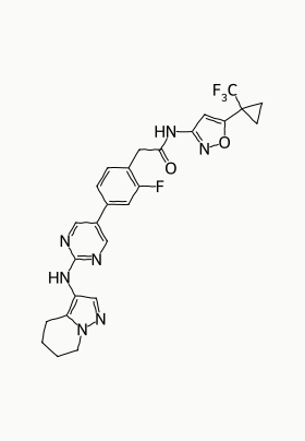 O=C(Cc1ccc(-c2cnc(Nc3cnn4c3CCCC4)nc2)cc1F)Nc1cc(C2(C(F)(F)F)CC2)on1